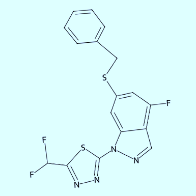 Fc1cc(SCc2ccccc2)cc2c1cnn2-c1nnc(C(F)F)s1